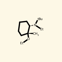 CCO[C@]1(C)CCCC[C@@H]1N(CC)C(C)(C)C